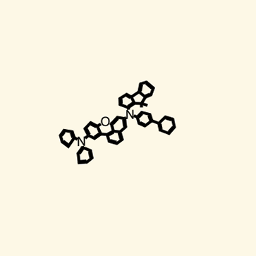 CC1(C)c2ccccc2-c2cccc(N(c3ccc(-c4ccccc4)cc3)c3cc4c5c(cccc5c3)-c3cc(N(c5ccccc5)c5ccccc5)ccc3O4)c21